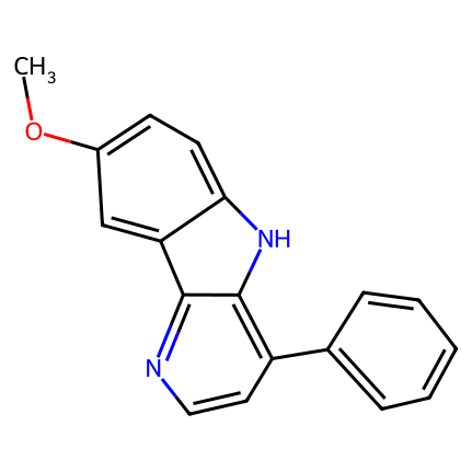 COc1ccc2[nH]c3c(-c4ccccc4)ccnc3c2c1